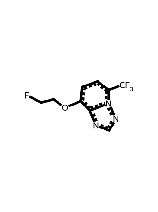 FCCOc1ccc(C(F)(F)F)n2ncnc12